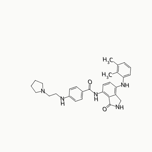 Cc1cccc(Nc2ccc(NC(=O)c3ccc(NCCN4CCCC4)cc3)c3c2CNC3=O)c1C